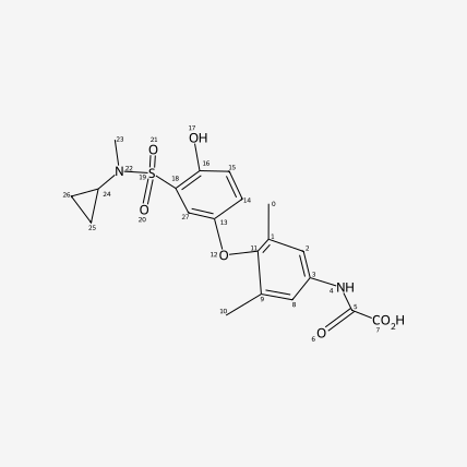 Cc1cc(NC(=O)C(=O)O)cc(C)c1Oc1ccc(O)c(S(=O)(=O)N(C)C2CC2)c1